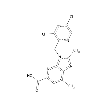 Cc1cc(C(=O)O)nc2c1nc(C)n2Cc1ncc(Cl)cc1Cl